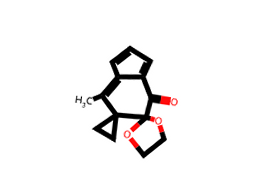 CC1=C2C=CC=C2C(=O)C2(OCCO2)C12CC2